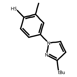 Cc1cc(-n2ccc(C(C)(C)C)n2)ccc1S